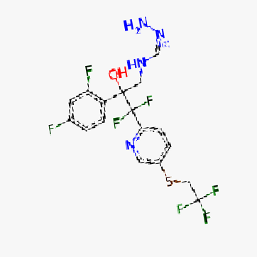 N/N=C\NCC(O)(c1ccc(F)cc1F)C(F)(F)c1ccc(SCC(F)(F)F)cn1